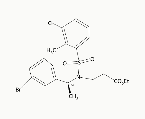 CCOC(=O)CCN([C@@H](C)c1cccc(Br)c1)S(=O)(=O)c1cccc(Cl)c1C